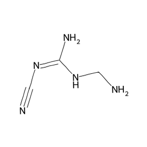 N#CN=C(N)NCN